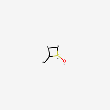 [CH2]C1CC[S+]1[O-]